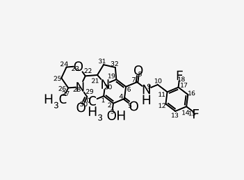 Cc1c(O)c(=O)c(C(=O)NCc2ccc(F)cc2F)c2n1C(C1OCCC(C)N1C=O)CC2